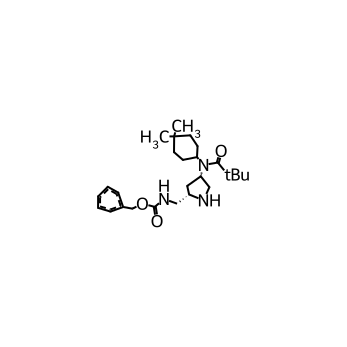 CC1(C)CCC(N(C(=O)C(C)(C)C)[C@@H]2CN[C@H](CNC(=O)OCc3ccccc3)C2)CC1